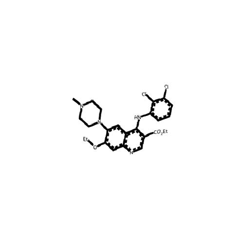 CCOC(=O)c1cnc2cc(OCC)c(N3CCN(C)CC3)cc2c1Nc1cccc(Cl)c1Cl